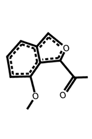 COc1cccc2coc(C(C)=O)c12